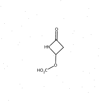 O=C1CC(OC(=O)O)N1